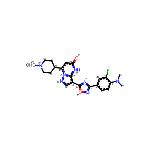 CN(C)c1ccc(-c2noc(-c3cnn4c(C5CCN(C=O)CC5)cc(=O)[nH]c34)n2)cc1F